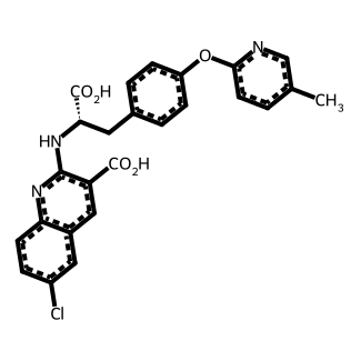 Cc1ccc(Oc2ccc(C[C@H](Nc3nc4ccc(Cl)cc4cc3C(=O)O)C(=O)O)cc2)nc1